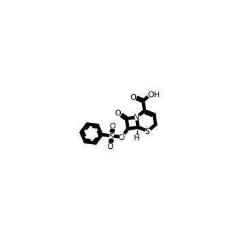 O=C(O)C1=CCS[C@H]2C(OS(=O)(=O)c3ccccc3)C(=O)N12